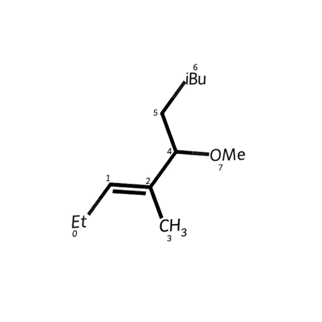 CC/C=C(\C)C(CC(C)CC)OC